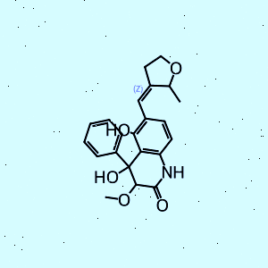 COC1C(=O)Nc2ccc(/C=C3/CCOC3C)c(O)c2C1(O)c1ccccc1